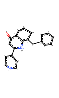 O=c1cc(-c2ccncc2)[nH]c2c(Cc3ccccc3)cccc12